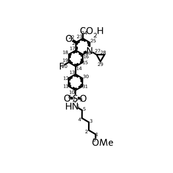 COCCCCCNS(=O)(=O)c1ccc(-c2cc3c(cc2F)c(=O)c(C(=O)O)cn3C2CC2)cc1